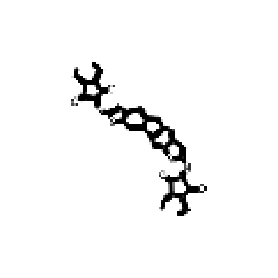 C/C=c1/c(=O)c(=Nc2cc3cc4c(cc3s2)-c2cc3sc(N=c5c(=O)c(=C/C)/c(=C\C)c5=O)cc3cc2C4)c(=O)/c1=C/C